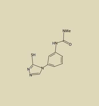 CNC(=O)Nc1cccc(-n2cnnc2S)c1